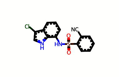 N#Cc1ccccc1S(=O)(=O)Nc1cccc2c(Cl)c[nH]c12